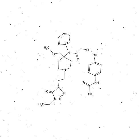 CC(=O)Nc1ccc(O)cc1.CCC(=O)N(c1ccccc1)C1(COC)CCN(CCn2nnn(CC)c2=O)CC1